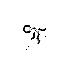 C/C=C/C[Si](CCC)(CCC)CN1CCCCC1